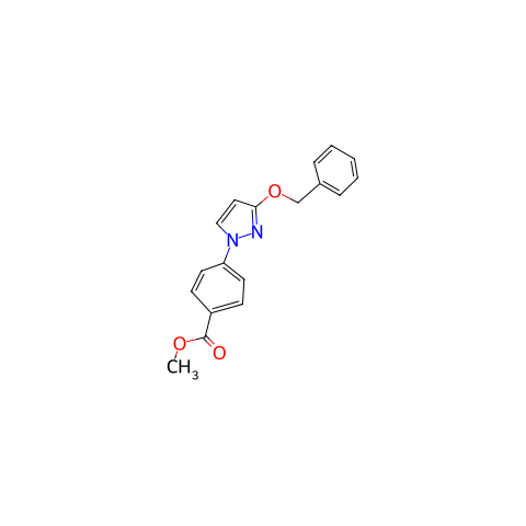 COC(=O)c1ccc(-n2ccc(OCc3ccccc3)n2)cc1